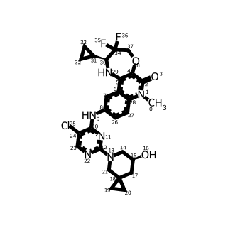 Cn1c(=O)c2c(c3cc(Nc4nc(N5C[C@@H](O)CC6(CC6)C5)ncc4Cl)ccc31)N[C@@H](C1CC1)C(F)(F)CO2